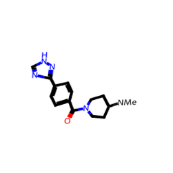 CNC1CCN(C(=O)c2ccc(-c3nc[nH]n3)cc2)CC1